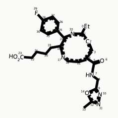 CCc1ccc(C(=O)NCc2nnc(C)o2)ccnc(CCCCC(=O)O)c(-c2ccc(F)cc2)n1